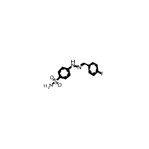 NS(=O)(=O)c1ccc(NN=Cc2ccc(F)cc2)cc1